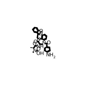 C[C@@H](C(=O)N[C@H]1CN(C(=O)c2ccc(N)cc2)c2ccccc2N(Cc2noc3ccccc23)C1=O)N(C)C(=O)O